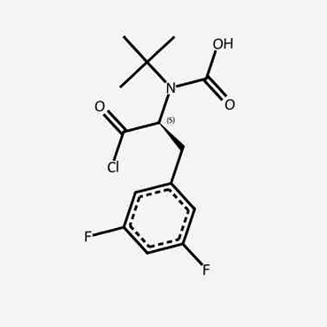 CC(C)(C)N(C(=O)O)[C@@H](Cc1cc(F)cc(F)c1)C(=O)Cl